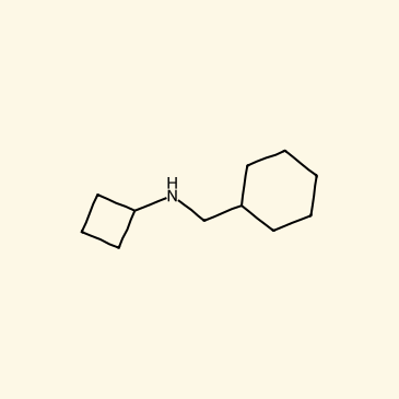 C1CCC(CNC2CCC2)CC1